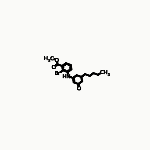 CCCCCC1CC(=O)C=C(Nc2cccc(C(=O)OC)c2Br)C1